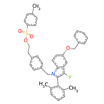 Cc1ccc(S(=O)(=O)OCCc2ccc(Cn3c(-c4c(C)cccc4C)c(F)c4cc(OCc5ccccc5)ccc43)cc2)cc1